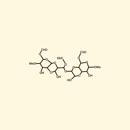 COC1OC(OC=O)C2OC(OC(OC=O)C3OC4OC(OC=O)C(OC)C(O)C4OC3O)C(O)OC2C1O